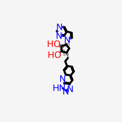 O[C@@H]1[C@@H](CCc2ccc3cc4nn[nH]c4nc3c2)C[C@@H](n2ccc3cncnc32)[C@@H]1O